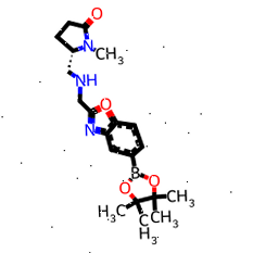 CN1C(=O)CC[C@H]1CNCc1nc2cc(B3OC(C)(C)C(C)(C)O3)ccc2o1